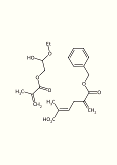 C=C(C)C(=O)OCC(O)OCC.C=C(CC=C(C)C(=O)O)C(=O)OCc1ccccc1